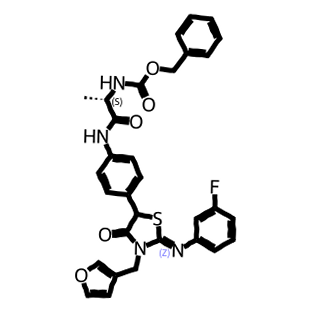 C[C@H](NC(=O)OCc1ccccc1)C(=O)Nc1ccc(C2S/C(=N\c3cccc(F)c3)N(Cc3ccoc3)C2=O)cc1